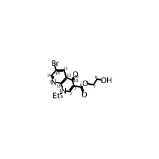 CCn1cc(C(=O)OCCO)c(=O)c2cc(Br)cnc21